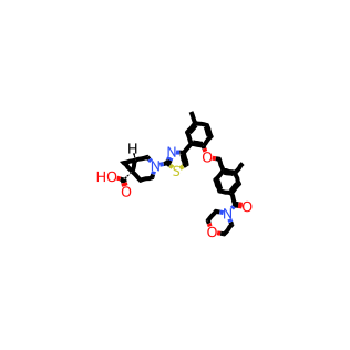 Cc1ccc(OCc2ccc(C(=O)N3CCOCC3)cc2C)c(-c2csc(N3CC[C@@]4(C(=O)O)C[C@H]4C3)n2)c1